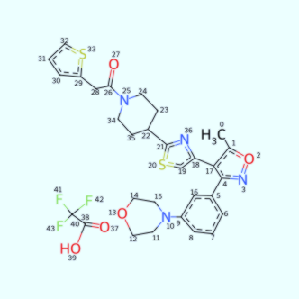 Cc1onc(-c2cccc(N3CCOCC3)c2)c1-c1csc(C2CCN(C(=O)Cc3cccs3)CC2)n1.O=C(O)C(F)(F)F